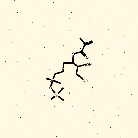 C=C(C)C(=O)OC(CCC[Si](C)(C)O[Si](C)(C)C)C(O)CO